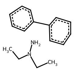 CCN(N)CC.c1ccc(-c2ccccc2)cc1